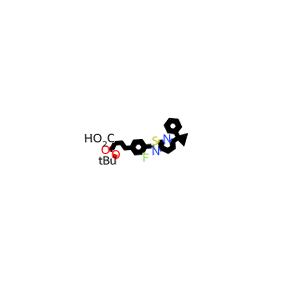 CC(C)(C)OC(=O)C(CCc1ccc(-c2nc3ccc(C4(c5ccccc5)C=C4)nc3s2)c(F)c1)C(=O)O